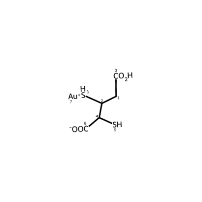 O=C(O)CC(S)C(S)C(=O)[O-].[Au+]